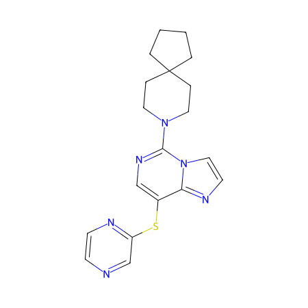 c1cnc(Sc2cnc(N3CCC4(CCCC4)CC3)n3ccnc23)cn1